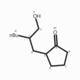 CCCCC(CO)CC1CCCC1=O